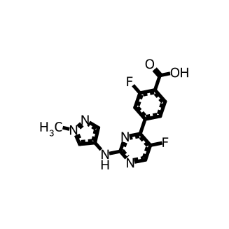 Cn1cc(Nc2ncc(F)c(-c3ccc(C(=O)O)c(F)c3)n2)cn1